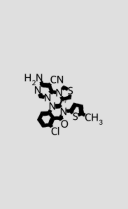 Cc1ccc(-n2c([C@@H]3CSCN3c3ncnc(N)c3C#N)nc3cccc(Cl)c3c2=O)s1